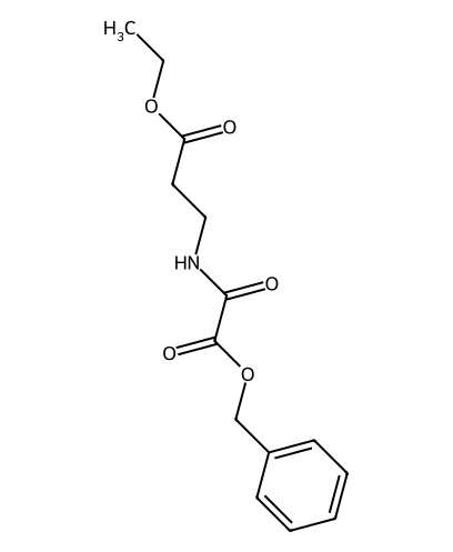 CCOC(=O)CCNC(=O)C(=O)OCc1ccccc1